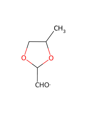 CC1COC([C]=O)O1